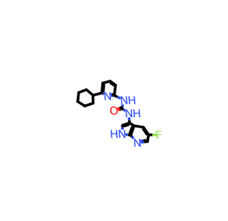 O=C(Nc1cccc(C2CCCCC2)n1)Nc1c[nH]c2ncc(F)cc12